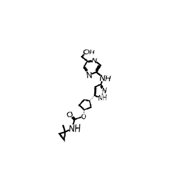 CC1(NC(=O)O[C@@H]2CC[C@H](c3cc(Nc4cnc(CO)cn4)n[nH]3)C2)CC1